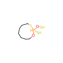 SO[PH]1(S)OCCCCCCCS1